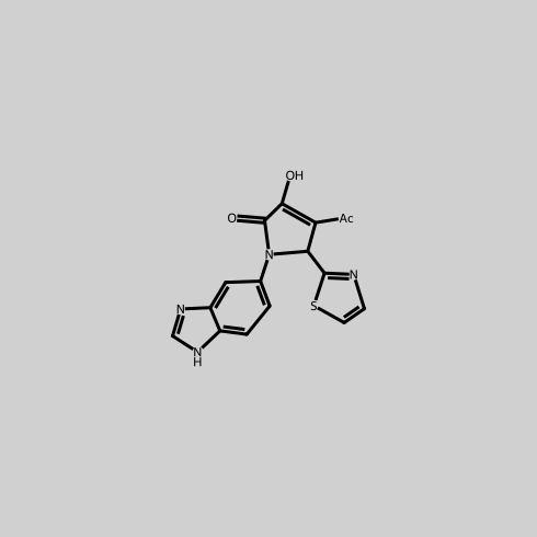 CC(=O)C1=C(O)C(=O)N(c2ccc3[nH]cnc3c2)C1c1nccs1